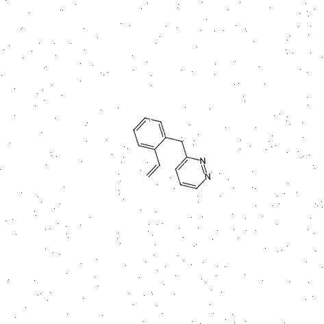 C=Cc1ccccc1Cc1cccnn1